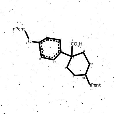 CCCCCOc1ccc(C2(C(=O)O)CCC(CCCCC)CC2)cc1